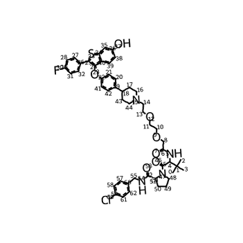 CC(C)(C)C(NC(=O)COCCOCCN1CCC(c2ccc(Oc3c(-c4ccc(F)cc4)sc4cc(O)ccc34)cc2)CC1)C(=O)N1CCC[C@H]1C(=O)NCc1ccc(Cl)cc1